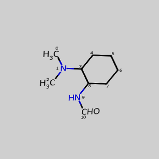 CN(C)C1CCCCC1NC=O